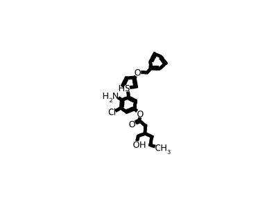 CCCC(CO)CC(=O)Oc1cc(Cl)c(N)c([SH]2C=CC(OCc3ccccc3)=C2)c1